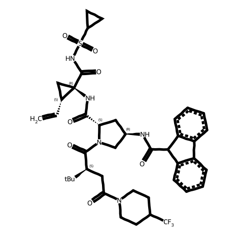 C=C[C@@H]1C[C@]1(NC(=O)[C@@H]1C[C@@H](NC(=O)C2c3ccccc3-c3ccccc32)CN1C(=O)[C@@H](CC(=O)N1CCC(C(F)(F)F)CC1)C(C)(C)C)C(=O)NS(=O)(=O)C1CC1